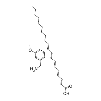 CCCCCCCCCC=CC=CC=CC=CC=CC(=O)O.COc1cccc(CN)c1